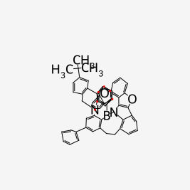 CC(C)(C)c1ccc(CN2c3cc(-c4ccccc4)cc4c3B(c3c2ccc2oc5ccccc5c32)n2c3c(cccc3c3oc5ccccc5c32)CC4)c(-c2ccccc2)c1